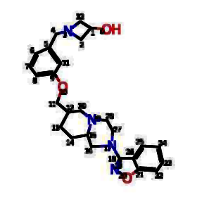 OC1CN(Cc2cccc(OCC3CCC4CN(c5noc6ccccc56)CCN4C3)c2)C1